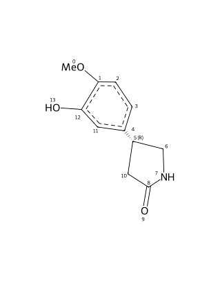 COc1ccc([C@@H]2CNC(=O)C2)cc1O